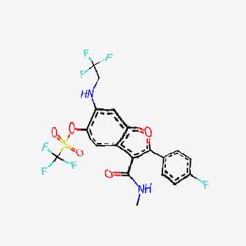 CNC(=O)c1c(-c2ccc(F)cc2)oc2cc(NCC(F)(F)F)c(OS(=O)(=O)C(F)(F)F)cc12